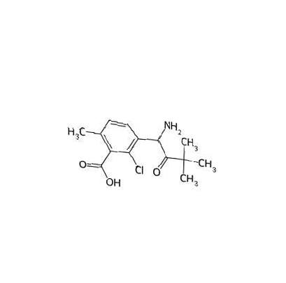 Cc1ccc(C(N)C(=O)C(C)(C)C)c(Cl)c1C(=O)O